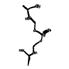 CC(O)NCO[PH](=O)OCNC(C)O